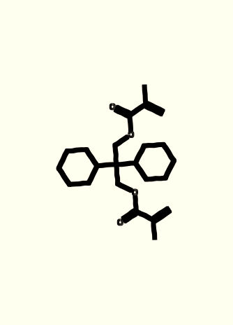 C=C(C)C(=O)OCC(COC(=O)C(=C)C)(C1CCCCC1)C1CCCCC1